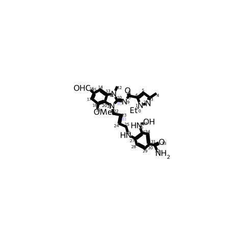 CCn1nc(C)cc1C(=O)/N=c1\n(C)c2cc(C=O)cc(OC)c2n1C/C=C/CNc1ccc(C(N)=O)cc1NO